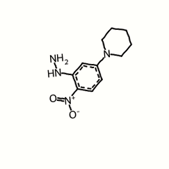 NNc1cc(N2CCCCC2)ccc1[N+](=O)[O-]